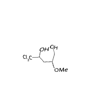 COC(CO)CC(O)C(Cl)(Cl)Cl